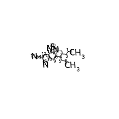 CCCCC(CCC)c1ccc(C=C(C#N)C#N)c2nsnc12